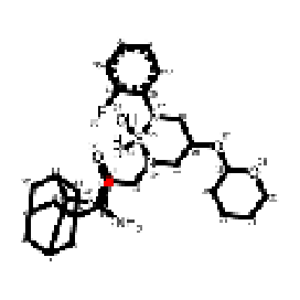 NC(=O)C12CC3CC(C1)C(NC(=O)CN1CC(OC4CCCCO4)CN(c4ccccc4F)S1(O)O)C(C3)C2